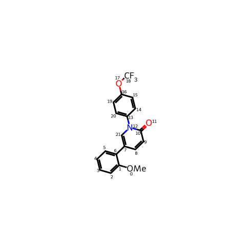 COc1ccccc1-c1ccc(=O)n(-c2ccc(OC(F)(F)F)cc2)c1